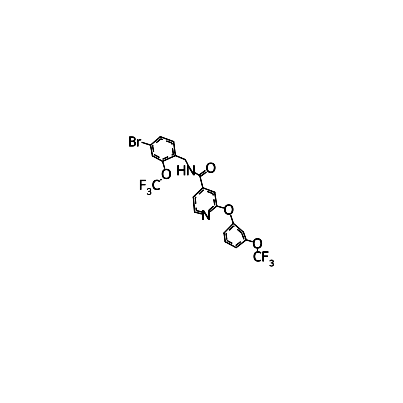 O=C(NCc1ccc(Br)cc1OC(F)(F)F)c1ccnc(Oc2cccc(OC(F)(F)F)c2)c1